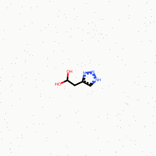 OC(O)Cc1c[nH]nn1